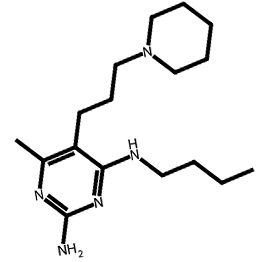 CCCCNc1nc(N)nc(C)c1CCCN1CCCCC1